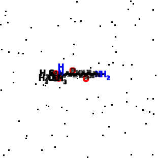 CC(C)(C)OC(=O)NCCCC(=O)CCCCC(=O)CCCN